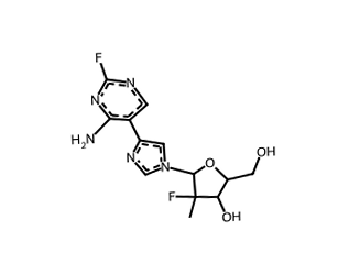 CC1(F)C(O)C(CO)OC1n1cnc(-c2cnc(F)nc2N)c1